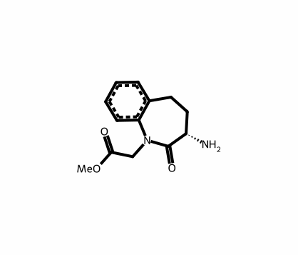 COC(=O)CN1C(=O)[C@@H](N)CCc2ccccc21